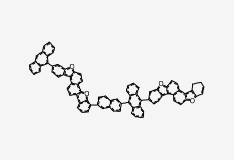 C1=Cc2oc3ccc4c(ccc5oc6cc(-c7c8ccccc8c(-c8ccc9cc(-c%10cccc%11c%10oc%10c%11ccc%11c%10ccc%10oc%12cc(-c%13c%14ccccc%14cc%14ccccc%13%14)ccc%12c%10%11)ccc9c8)c8ccccc78)ccc6c54)c3c2CC1